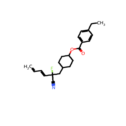 C=CC=CC(F)(C#N)CC1CCC(OC(=O)c2ccc(CC)cc2)CC1